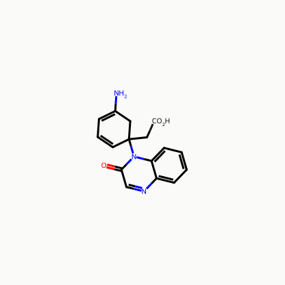 NC1=CC=CC(CC(=O)O)(n2c(=O)cnc3ccccc32)C1